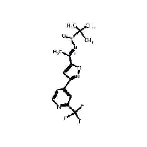 C/C(=N\[S+]([O-])C(C)(C)C)c1cc(-c2ccnc(C(F)(F)F)c2)no1